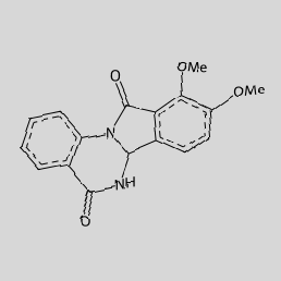 COc1ccc2c(c1OC)C(=O)N1c3ccccc3C(=O)NC21